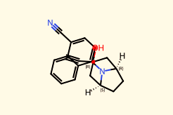 C#C[C@]1(O)C[C@H]2CC[C@@H](C1)N2c1ccc(C#N)c2ccccc12